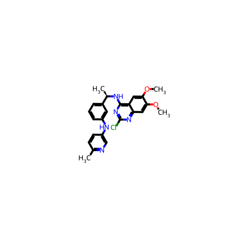 COc1cc2nc(Cl)nc(N[C@H](C)c3cccc(Nc4ccc(C)nc4)c3)c2cc1OC